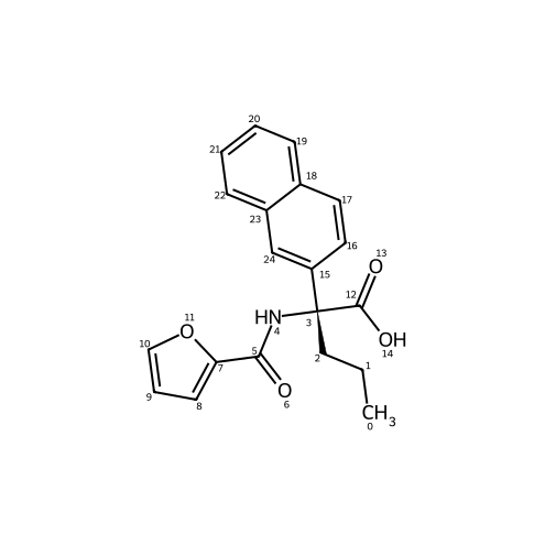 CCC[C@](NC(=O)c1ccco1)(C(=O)O)c1ccc2ccccc2c1